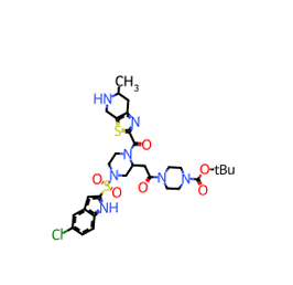 CC1Cc2nc(C(=O)N3CCN(S(=O)(=O)c4cc5cc(Cl)ccc5[nH]4)CC3CC(=O)N3CCN(C(=O)OC(C)(C)C)CC3)sc2CN1